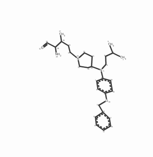 CC(C)CCN(c1ccc(OCc2ccccc2)cc1)C1CCN(CCC(C)C(N)C=O)CC1